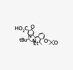 CC/C(C)=c1/c(OCC2(C)COC2)ccc/c1=C1\c2cc(=O)c(C(=O)O)cn2C(C(C)(C)C)CN1C